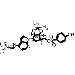 Cc1ccc(S(=O)(=O)OC[C@@]2(F)C[C@@H](n3ccc4c(/N=C/N(C)C)ncnc43)[C@@H]3OC(C)(C)O[C@@H]32)cc1